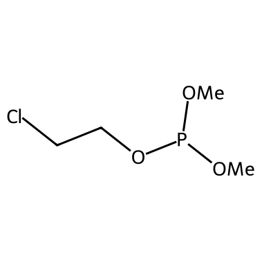 COP(OC)OCCCl